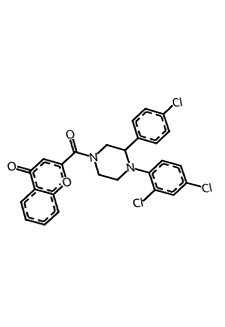 O=C(c1cc(=O)c2ccccc2o1)N1CCN(c2ccc(Cl)cc2Cl)C(c2ccc(Cl)cc2)C1